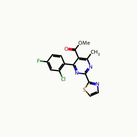 COC(=O)c1c(C)nc(-c2nccs2)nc1-c1ccc(F)cc1Cl